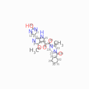 COc1cnc(-c2cnc(O)nc2)c2[nH]cc(C(=O)C(=O)N3CCN(C(=O)c4ccccc4)C[C@H]3C)c12